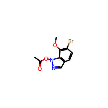 COc1c(Br)ccc2cnn(OC(C)=O)c12